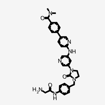 CN(C)C(=O)c1ccc(-c2ccc(Nc3cncc(N4CCN(Cc5ccc(NC(=O)CN)cc5)C4=O)c3)nc2)cc1